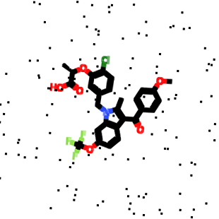 COc1ccc(C(=O)c2c(C)n(Cc3ccc(Cl)c(O[C@H](C)C(=O)O)c3)c3cc(OC(F)(F)F)ccc23)cc1